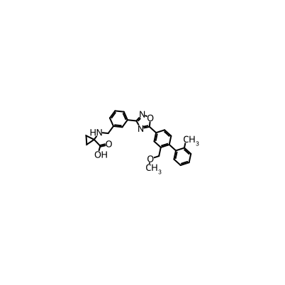 COCc1cc(-c2nc(-c3cccc(CNC4(C(=O)O)CC4)c3)no2)ccc1-c1ccccc1C